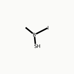 CB(S)I